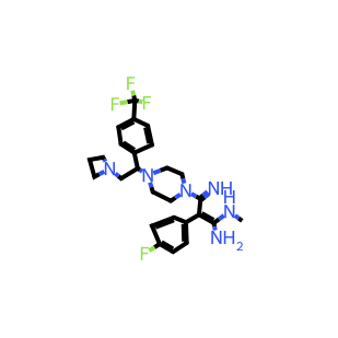 CN/C(N)=C(\C(=N)N1CCN(C(CN2CCC2)c2ccc(C(F)(F)F)cc2)CC1)c1ccc(F)cc1